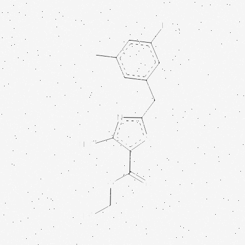 CCOC(=O)c1sc(Cc2cc(F)cc(Cl)c2)nc1C